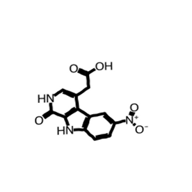 O=C(O)Cc1c[nH]c(=O)c2[nH]c3ccc([N+](=O)[O-])cc3c12